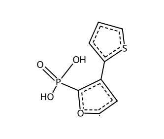 O=P(O)(O)c1o[c]cc1-c1cccs1